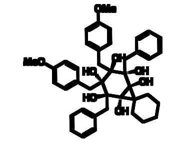 COc1ccc(C[C@@]2(O)[C@](O)(Cc3ccc(OC)cc3)[C@@](O)(Cc3ccccc3)[C@@]3(O)C4(CCCCC4)[C@@]3(O)[C@]2(O)Cc2ccccc2)cc1